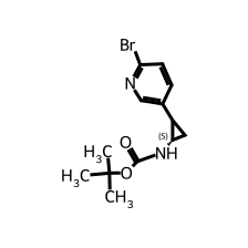 CC(C)(C)OC(=O)N[C@H]1CC1c1ccc(Br)nc1